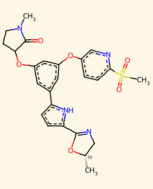 C[C@H]1CN=C(c2ccc(-c3cc(Oc4ccc(S(C)(=O)=O)nc4)cc(OC4CCN(C)C4=O)c3)[nH]2)O1